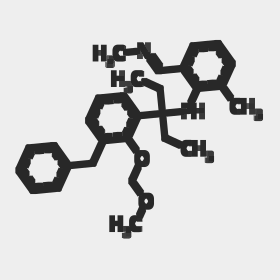 CCC(CC)(Pc1c(C)cccc1/C=N/C)c1cccc(Cc2ccccc2)c1OCOC